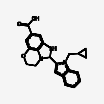 O=C(O)c1cc2c3c(c1)OCCN3C(c1cc3ccccc3n1CC1CC1)N2